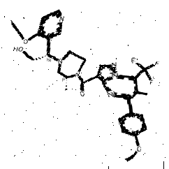 COc1ccc(-c2nc3c(C(=O)N4CCN([C@H](CO)c5cnccc5OC)C[C@H]4C)cnn3c(C(F)(F)F)c2C)cc1